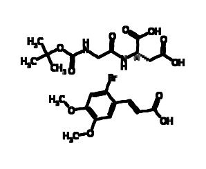 CC(C)(C)OC(=O)NCC(=O)N[C@@H](CC(=O)O)C(=O)O.COc1cc(Br)c(C=CC(=O)O)cc1OC